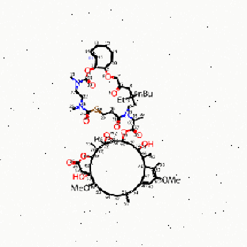 CCCCC(C)(CC)CC(=O)COC1CCCC/C=C/C1OC(=O)N(C)CCN(C)C(=O)SCCC(=O)N(C)[C@@H](C)C(=O)O[C@H]1CC(O)C(C)C2CC(=CC(OC)=C2C)CC(C)CCCC(OC)C2(O)CC(=O)OC(C2)[C@@H](C)[C@@H]2O[C@@]12C